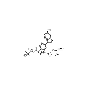 COC(=O)N(C)C[C@H]1C[C@H](Nc2cc(-c3ccc4cc(C#N)cnn34)ncc2C(=O)NC[C@@H](F)C(C)(C)O)C1